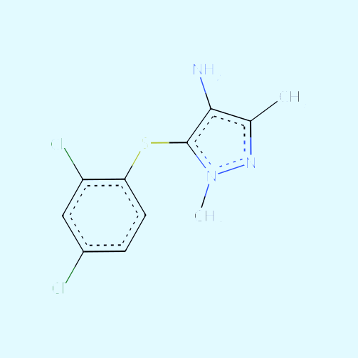 Cc1nn(C)c(Sc2ccc(Cl)cc2Cl)c1N